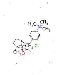 CC12CCC(C(=Cc3ccc([N+](C)(C)C)cc3)C1=O)C2(C)C.[Cl-]